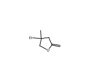 C=C1CC(C)(CC)CO1